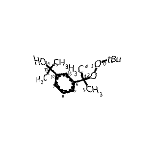 CC(C)(C)OOC(C)(C)c1cccc(C(C)(C)O)c1